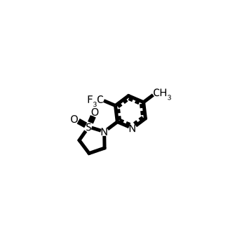 Cc1cnc(N2CCCS2(=O)=O)c(C(F)(F)F)c1